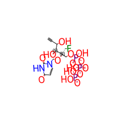 C#CC(O)[C@H](O)[C@@](CF)(COP(=O)(O)OP(=O)(O)OP(=O)(O)O)OCn1ccc(=O)[nH]c1=O